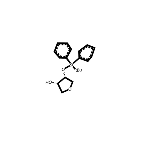 CC(C)(C)[Si](O[C@@H]1COC[C@@H]1O)(c1ccccc1)c1ccccc1